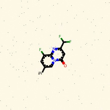 CC(C)c1cc(F)c2nc(C(F)F)cc(=O)n2c1